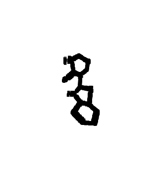 O=C1NCOCN1C1NC2C=CC=CC2S1